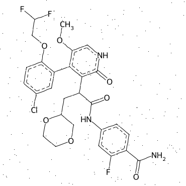 COc1c[nH]c(=O)c(C(CC2COCCO2)C(=O)Nc2ccc(C(N)=O)c(F)c2)c1-c1cc(Cl)ccc1OCC(F)F